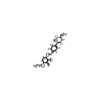 CCCOc1ccc(OCc2ccc(C3CCC(CCC)CO3)cc2)c(F)c1F